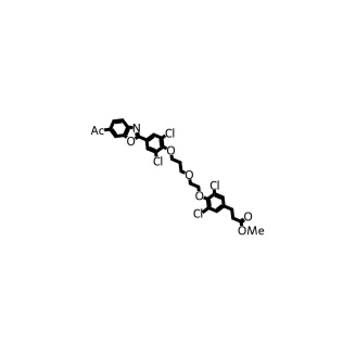 COC(=O)CCc1cc(Cl)c(OCCOCCCOc2c(Cl)cc(-c3nc4ccc(C(C)=O)cc4o3)cc2Cl)c(Cl)c1